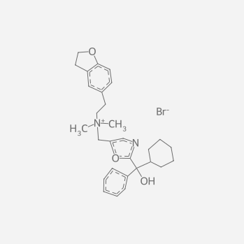 C[N+](C)(CCc1ccc2c(c1)CCO2)Cc1cnc(C(O)(c2ccccc2)C2CCCCC2)o1.[Br-]